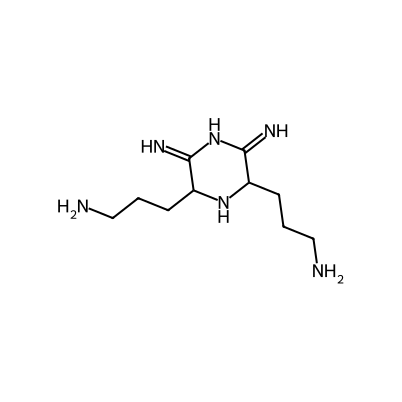 N=C1NC(=N)C(CCCN)NC1CCCN